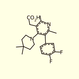 Cc1nc(C)c(-c2ccc(F)c(F)c2)c(N2CCC(C)(C)CC2)c1CC(=O)O